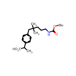 CC(C(=O)O)c1ccc(CC(C)(C)CCCNC(=O)OC(C)(C)C)cc1